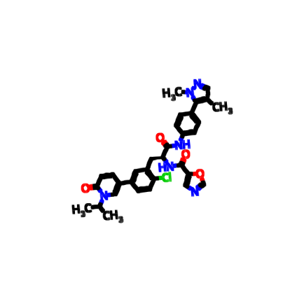 Cc1cnn(C)c1-c1ccc(NC(=O)[C@H](Cc2cc(-c3ccc(=O)n(C(C)C)c3)ccc2Cl)NC(=O)c2cnco2)cc1